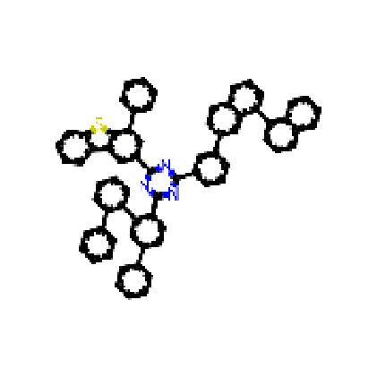 c1ccc(-c2ccc(-c3nc(-c4cccc(-c5ccc6cccc(-c7cccc8ccccc78)c6c5)c4)nc(-c4cc(-c5ccccc5)c5sc6ccccc6c5c4)n3)c(-c3ccccc3-c3ccccc3)c2)cc1